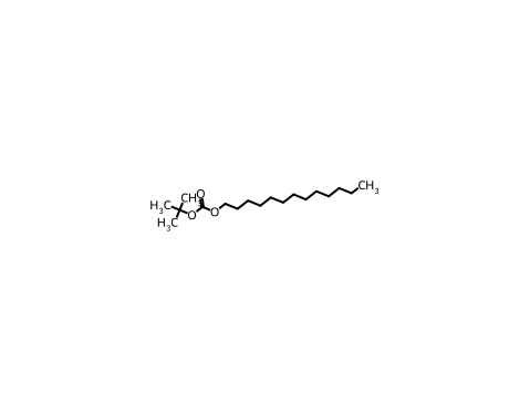 CCCCCCCCCCCCCOC(=O)OC(C)(C)C